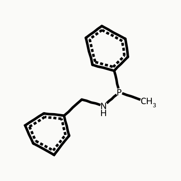 CP(NCc1ccccc1)c1ccccc1